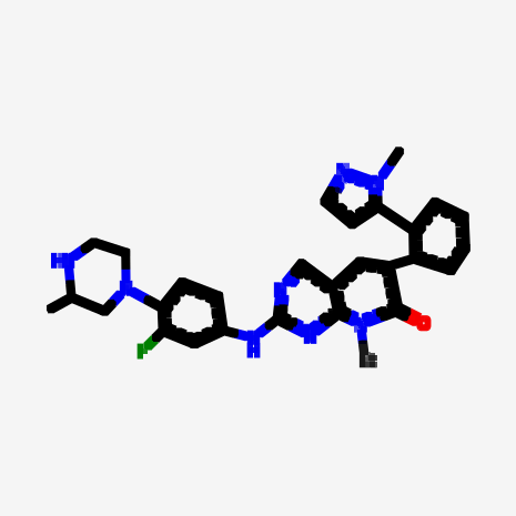 CCn1c(=O)c(-c2ccccc2-c2ccnn2C)cc2cnc(Nc3ccc(N4CCNC(C)C4)c(F)c3)nc21